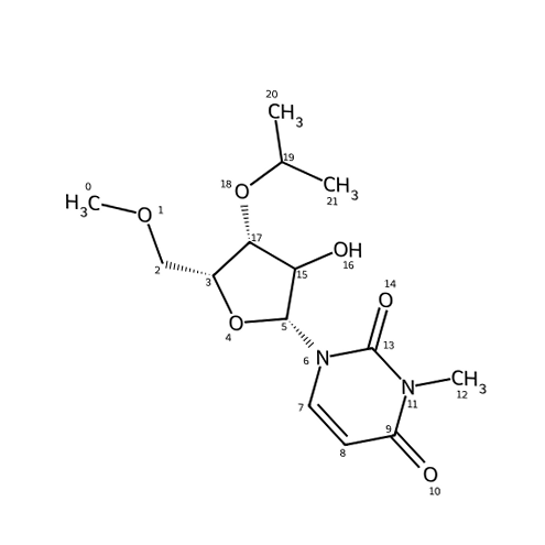 COC[C@H]1O[C@@H](n2ccc(=O)n(C)c2=O)C(O)[C@H]1OC(C)C